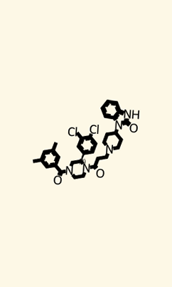 Cc1cc(C)cc(C(=O)N2CCN(C(=O)CCN3CCC(n4c(=O)[nH]c5ccccc54)CC3)[C@H](c3ccc(Cl)c(Cl)c3)C2)c1